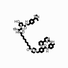 Cc1ccc(NC(=O)c2ccc(CN3CCN(C(=O)CCCCCCCCC(=O)NC(C(=O)N4C[C@H](O)C[C@H]4C(=O)NCc4ccc(-c5scnc5C)cc4)C(C)(C)C)CC3)cc2)cc1Nc1nccc(-c2cccnc2)n1